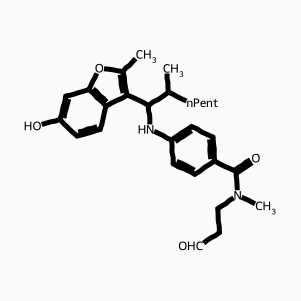 CCCCCC(C)C(Nc1ccc(C(=O)N(C)CCC=O)cc1)c1c(C)oc2cc(O)ccc12